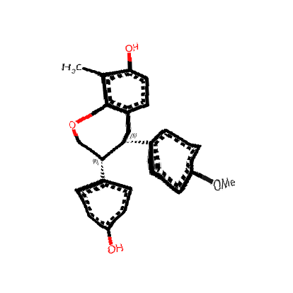 COc1ccc([C@H]2c3ccc(O)c(C)c3OC[C@H]2c2ccc(O)cc2)cc1